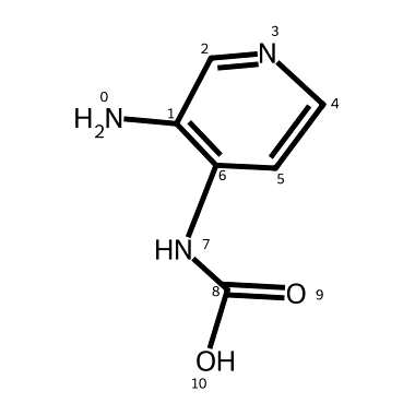 Nc1cnccc1NC(=O)O